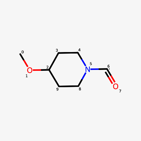 COC1CCN([C]=O)CC1